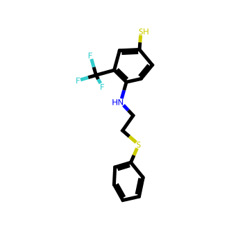 FC(F)(F)c1cc(S)ccc1NCCSc1ccccc1